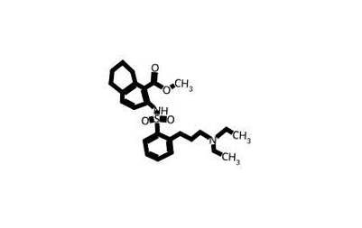 CCN(CC)CCCc1ccccc1S(=O)(=O)Nc1ccc2c(c1C(=O)OC)CCCC2